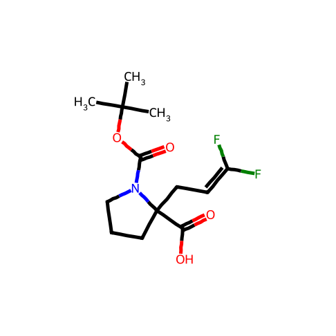 CC(C)(C)OC(=O)N1CCCC1(CC=C(F)F)C(=O)O